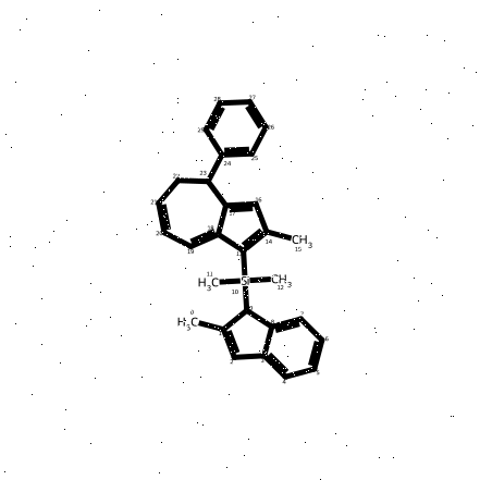 CC1=Cc2ccccc2C1[Si](C)(C)C1=C(C)C=C2C1=CC=CCC2c1ccccc1